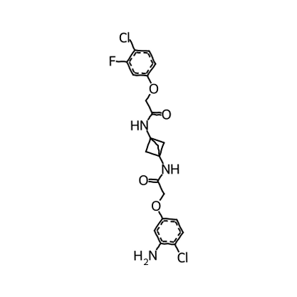 Nc1cc(OCC(=O)NC23CC(NC(=O)COc4ccc(Cl)c(F)c4)(C2)C3)ccc1Cl